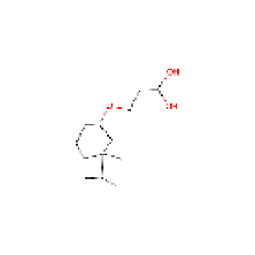 CC(C)C1(C)CCCC(OCCC(O)O)C1